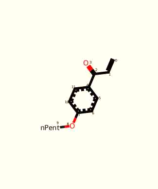 C=CC(=O)c1ccc(OCCCCC)cc1